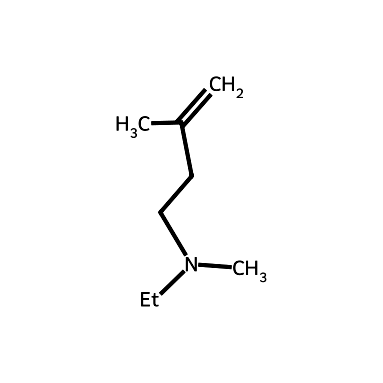 C=C(C)CCN(C)CC